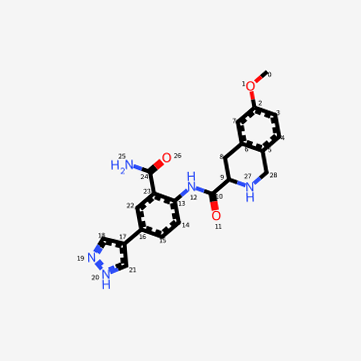 COc1ccc2c(c1)CC(C(=O)Nc1ccc(-c3cn[nH]c3)cc1C(N)=O)NC2